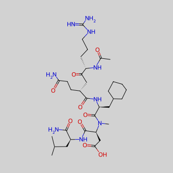 CC(=O)N[C@@H](CCCNC(=N)N)C(=O)C[C@@H](CCC(N)=O)C(=O)N[C@@H](CC1CCCCC1)C(=O)N(C)[C@@H](CC(=O)O)C(=O)N[C@@H](CC(C)C)C(N)=O